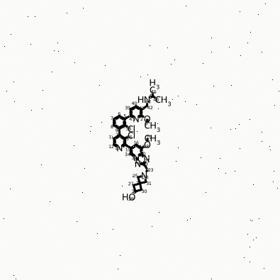 COc1nc(-c2cccc(-c3ccnc(-c4cc(OC)c5nc(CN6CC7(CC(O)C7)C6)nn5c4)c3Cl)c2Cl)ccc1CNC(C)C